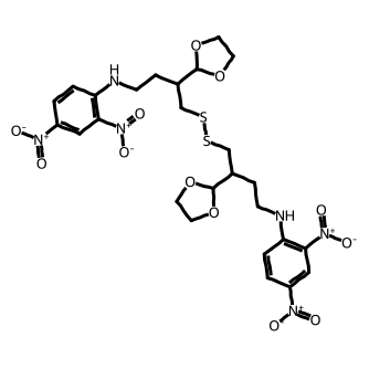 O=[N+]([O-])c1ccc(NCCC(CSSCC(CCNc2ccc([N+](=O)[O-])cc2[N+](=O)[O-])C2OCCO2)C2OCCO2)c([N+](=O)[O-])c1